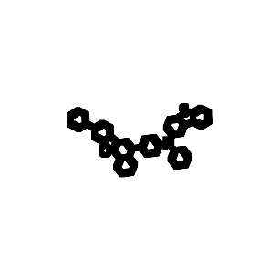 c1ccc(-c2ccc3c(c2)oc2c4ccccc4c(-c4ccc(N(c5ccccc5)c5ccc6sc7ccccc7c6c5)cc4)cc32)cc1